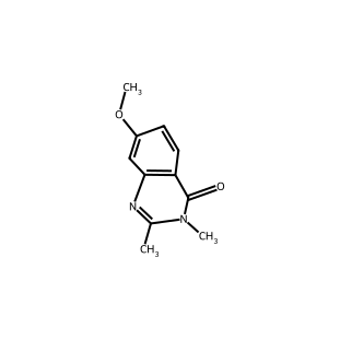 COc1ccc2c(=O)n(C)c(C)nc2c1